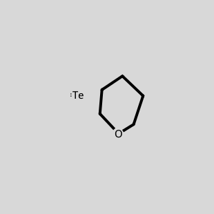 C1CCOCC1.[Te]